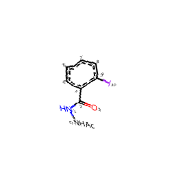 CC(=O)NNC(=O)c1ccccc1I